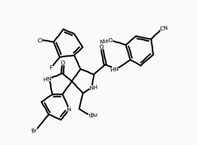 COc1cc(C#N)ccc1NC(=O)C1NC(CC(C)(C)C)C2(C(=O)Nc3cc(Br)cnc32)C1c1cccc(Cl)c1F